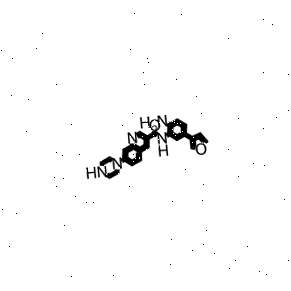 Nc1ccc(-c2ccoc2)cc1NC(=O)c1cnc2cc(N3CCNCC3)ccc2c1